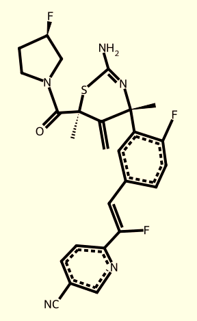 C=C1[C@@](C)(C(=O)N2CC[C@@H](F)C2)SC(N)=N[C@]1(C)c1cc(/C=C(\F)c2ccc(C#N)cn2)ccc1F